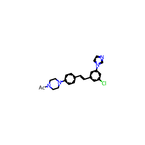 CC(=O)N1CCN(c2ccc(C=Cc3cc(Cl)cc(-n4ccnc4)c3)cc2)CC1